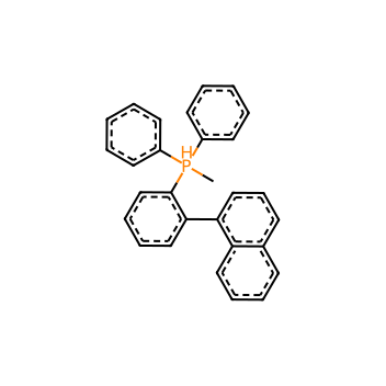 C[PH](c1ccccc1)(c1ccccc1)c1ccccc1-c1cccc2ccccc12